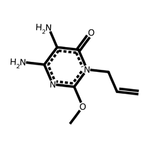 C=CCn1c(OC)nc(N)c(N)c1=O